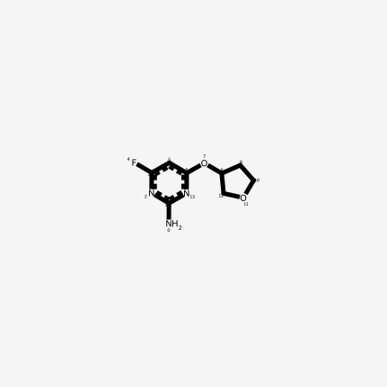 Nc1nc(F)cc(OC2CCOC2)n1